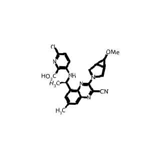 COC1C2CN(c3nc4c([C@@H](C)Nc5ccc(Cl)nc5C(=O)O)cc(C)cc4nc3C#N)CC21